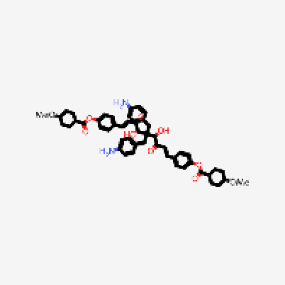 COC1CCC(C(=O)Oc2ccc(/C=C/C(=O)C(O)C(Cc3ccc(N)cc3)(Cc3ccc(N)cc3)C(O)C(=O)/C=C/c3ccc(OC(=O)C4CCC(OC)CC4)cc3)cc2)CC1